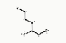 CC(C)CC(C)OCC[O]